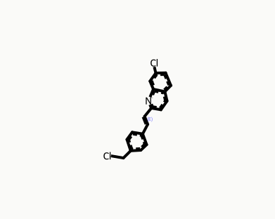 ClCc1ccc(/C=C/c2ccc3ccc(Cl)cc3n2)cc1